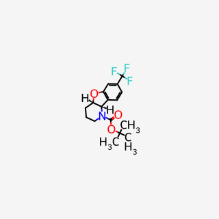 CC(C)(C)OC(=O)N1CCC[C@@H]2Oc3cc(C(F)(F)F)ccc3[C@@H]21